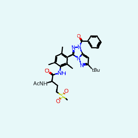 CC(=O)NC(CCS(C)(=O)=O)C(=O)Nc1c(C)cc(C)c(-c2nn(C(=O)c3ccccc3)c3cc(C(C)(C)C)nn23)c1C